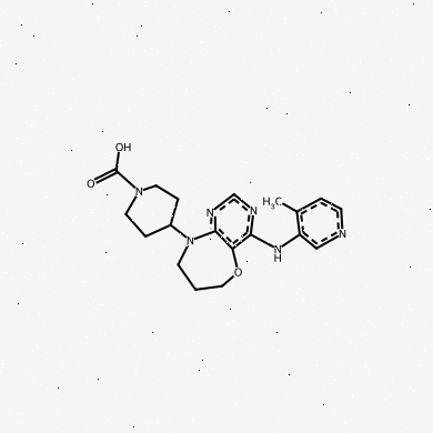 Cc1ccncc1Nc1ncnc2c1OCCCN2C1CCN(C(=O)O)CC1